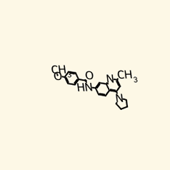 COc1ccc(C(=O)Nc2ccc3c(N4CCCC4)cc(C)nc3c2)cc1